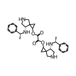 C[C@H](N[C@@H]1CNCC12CC2OC(=O)C(=O)OC1CC12CNC[C@H]2N[C@@H](C)c1ccccc1)c1ccccc1